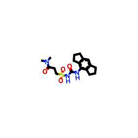 CN(C)C(=O)CCS(=O)(=O)NC(=O)Nc1c2c(cc3c1CCC3)CCC2